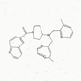 Cc1cccnc1CN(CC1=CC(C)C=CC=N1)C1CCN(C(=O)c2ccc3ncccc3c2)CC1